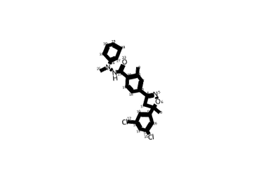 Cc1cc(C2=NOC(C)(c3cc(Cl)cc(Cl)c3)C2)ccc1C(=O)NN(C)c1ccccc1